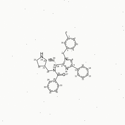 Cc1cccc(Cn2cc(-c3ccccc3)nc2[C@H](N(CC2CCNC2)C(=O)c2ccccc2)C(C)(C)C)c1